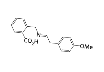 COc1ccc(CC=NCc2ccccc2C(=O)O)cc1